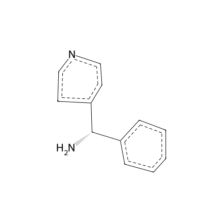 N[C@@H](c1ccccc1)c1ccncc1